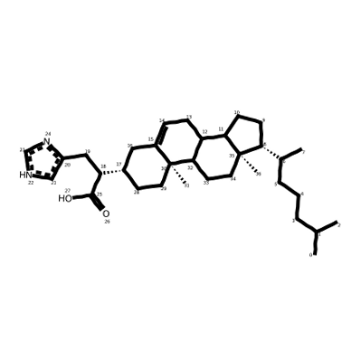 CC(C)CCCC(C)[C@H]1CCC2C3CC=C4C[C@@H](C(Cc5c[nH]cn5)C(=O)O)CC[C@]4(C)C3CC[C@@]21C